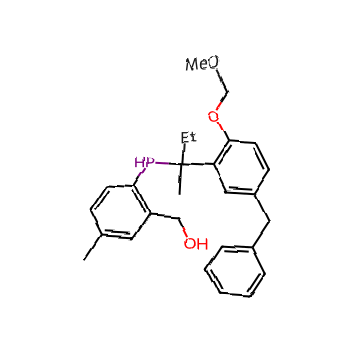 CCC(C)(Pc1ccc(C)cc1CO)c1cc(Cc2ccccc2)ccc1OCOC